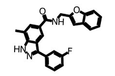 Cc1cc(C(=O)NCc2cc3ccccc3o2)cc2c(-c3cccc(F)c3)n[nH]c12